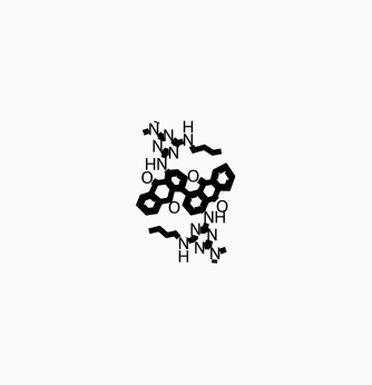 CCCCNc1nc(Nc2ccc(-c3ccc(Nc4nc(NCCCC)nc(N(C)C)n4)c4c3C(=O)c3ccccc3C4=O)c3c2C(=O)c2ccccc2C3=O)nc(N(C)C)n1